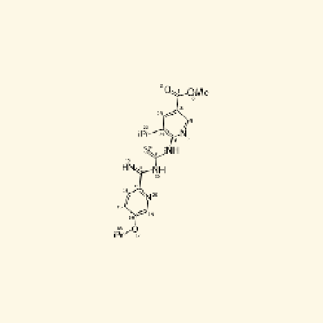 COC(=O)c1cnc(NC(=S)NC(=N)c2ccc(OC(C)C)cn2)c(C(C)C)c1